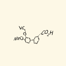 C#CCOc1cc(-c2cccc(CC(=O)O)c2)ccc1OC